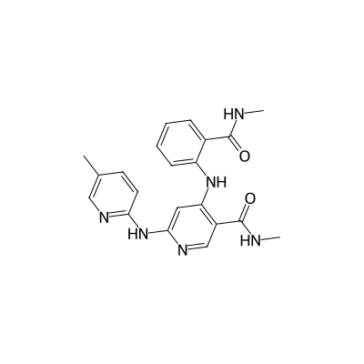 CNC(=O)c1ccccc1Nc1cc(Nc2ccc(C)cn2)ncc1C(=O)NC